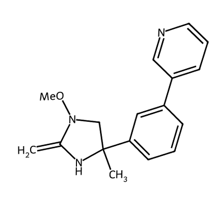 C=C1NC(C)(c2cccc(-c3cccnc3)c2)CN1OC